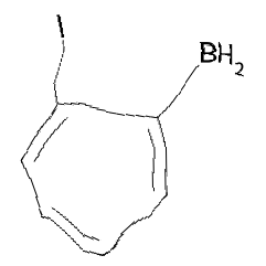 Bc1ccccc1I